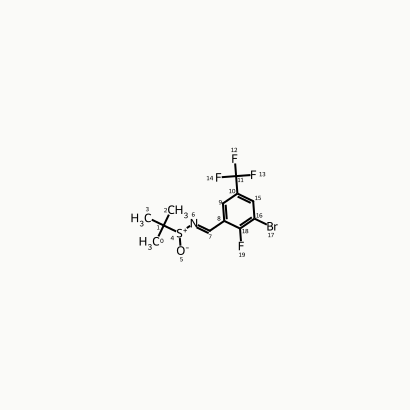 CC(C)(C)[S+]([O-])N=Cc1cc(C(F)(F)F)cc(Br)c1F